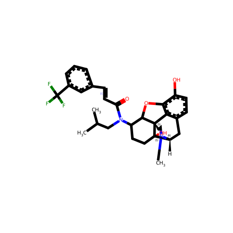 CC(C)CN(C(=O)/C=C/c1cccc(C(F)(F)F)c1)C1CC[C@@]2(O)[C@H]3Cc4ccc(O)c5c4[C@@]2(CCN3C)C1O5